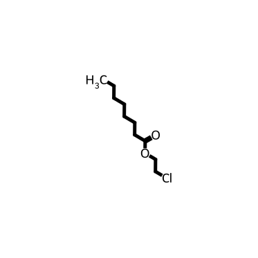 CCCCCCCC(=O)OCCCl